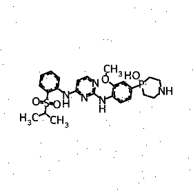 COc1cc([P]2(O)CCNCC2)ccc1Nc1nccc(Nc2ccccc2S(=O)(=O)C(C)C)n1